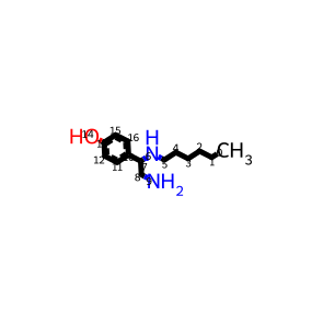 CCCCCCNC(CN)c1ccc(O)cc1